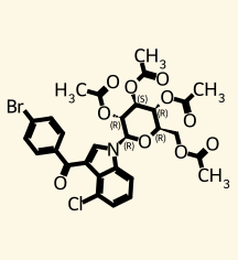 CC(=O)OC[C@H]1O[C@@H](n2cc(C(=O)c3ccc(Br)cc3)c3c(Cl)cccc32)[C@H](OC(C)=O)[C@@H](OC(C)=O)[C@@H]1OC(C)=O